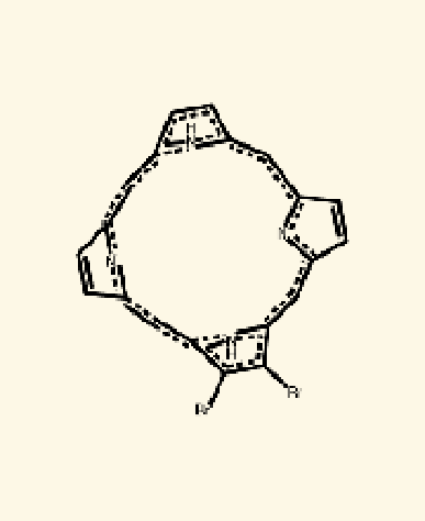 Brc1c(Br)c2cc3nc(cc4ccc(cc5nc(cc1[nH]2)C=C5)[nH]4)C=C3